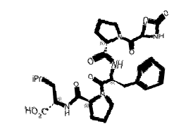 CC(C)C[C@H](NC(=O)[C@@H]1CCCN1C(=O)[C@H](Cc1ccccc1)NC(=O)[C@@H]1CCCN1C(=O)C1NC(=O)O1)C(=O)O